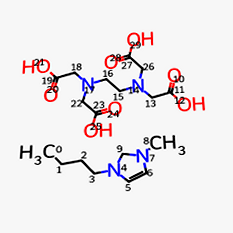 CCCCN1C=CN(C)C1.O=C(O)CN(CCN(CC(=O)O)CC(=O)O)CC(=O)O